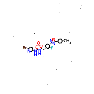 Cc1ccc(-c2nc(-c3ccc(CC(NC(=O)Nc4ccc(Br)nc4)OC=O)cc3F)no2)cc1